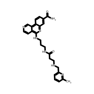 Cc1cccc(CNCCC(=O)NCCCNc2nc3cc(C(N)=O)ccc3c3cnccc23)n1